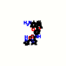 Nc1ccc2c(c1)Oc1cc(NC(=O)[C@@H]3CCCN3C(=O)C3CCCN3)ccc1C21OCc2ccccc21